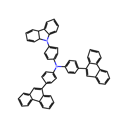 C1=CC2c3ccccc3N(c3ccc(N(c4ccc(-c5cc6ccccc6c6ccccc56)cc4)c4ccc(-c5cc6ccccc6c6ccccc56)cc4)cc3)C2C=C1